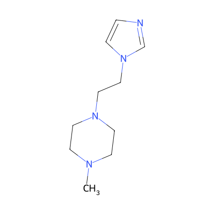 CN1CCN(CCn2ccnc2)CC1